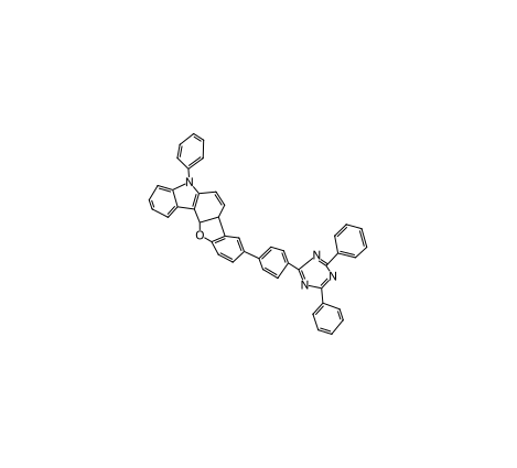 C1=CC2c3cc(-c4ccc(-c5nc(-c6ccccc6)nc(-c6ccccc6)n5)cc4)ccc3OC2c2c1n(-c1ccccc1)c1ccccc21